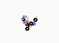 Cc1cc2c(cnn2-c2ccc(F)cc2)cc1C1(C(=O)c2ccccc2)CCN(S(=O)(=O)c2cnn(C)c2)C1